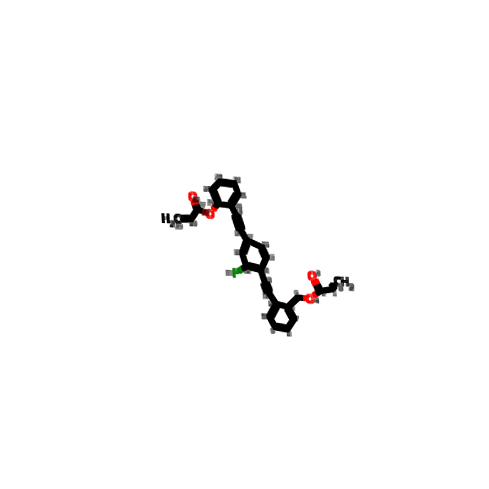 C=CC(=O)OCc1ccccc1C#Cc1ccc(C#Cc2ccccc2OC(=O)C=C)cc1F